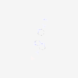 c1cc(N2CCOCC2)c2nc(C3CC3)c(-c3ccc(N4CCNCC4)nc3)n2n1